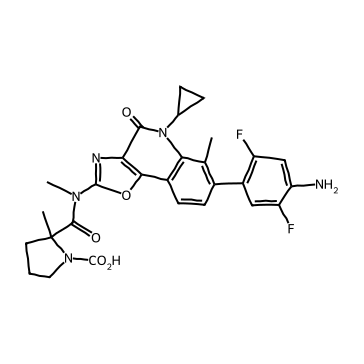 Cc1c(-c2cc(F)c(N)cc2F)ccc2c3oc(N(C)C(=O)C4(C)CCCN4C(=O)O)nc3c(=O)n(C3CC3)c12